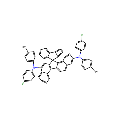 CC(C)c1ccc(N(c2ccc(F)cc2)c2ccc3c4c(ccc3c2)-c2c(cc(N(c3ccc(F)cc3)c3ccc(C(C)C)cc3)c3ccccc23)C42c3ccccc3-c3ccccc32)cc1